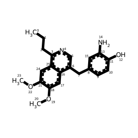 CCCc1ncc(Cc2ccc(O)c(N)c2)c2cc(OC)c(OC)cc12